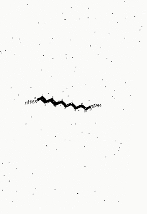 CCCCCCC=CC=CCCCCCCCCCCCCCCCC